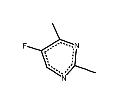 Cc1ncc(F)c(C)n1